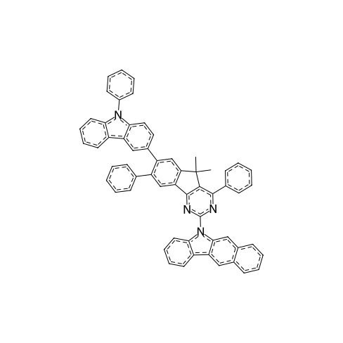 CC1(C)c2cc(-c3ccc4c(c3)c3ccccc3n4-c3ccccc3)c(-c3ccccc3)cc2-c2nc(-n3c4ccccc4c4cc5ccccc5cc43)nc(-c3ccccc3)c21